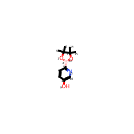 CC1(C)OB(c2ccc(O)cn2)OC1(C)C